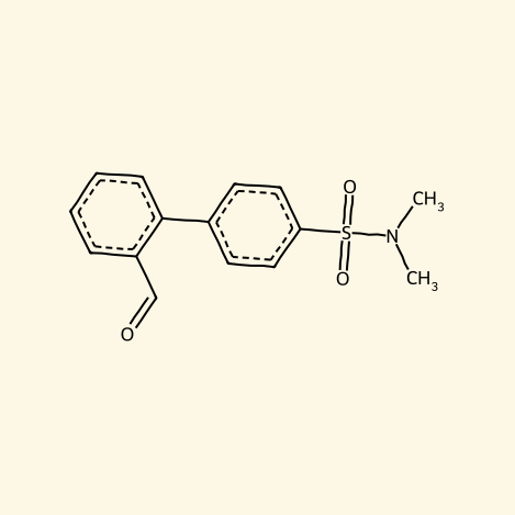 CN(C)S(=O)(=O)c1ccc(-c2ccccc2C=O)cc1